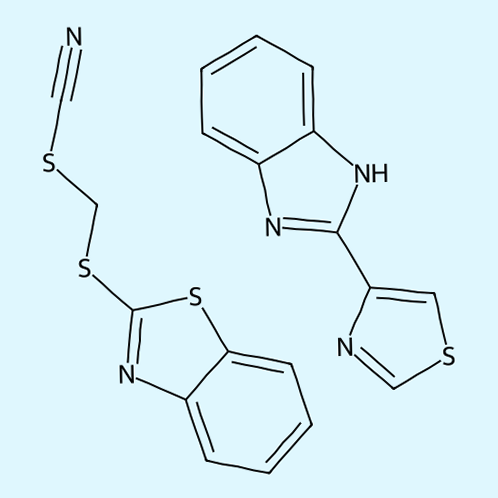 N#CSCSc1nc2ccccc2s1.c1ccc2[nH]c(-c3cscn3)nc2c1